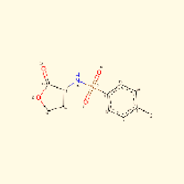 Cc1ccc(S(=O)(=O)N[C@@H]2CCOC2=O)cc1